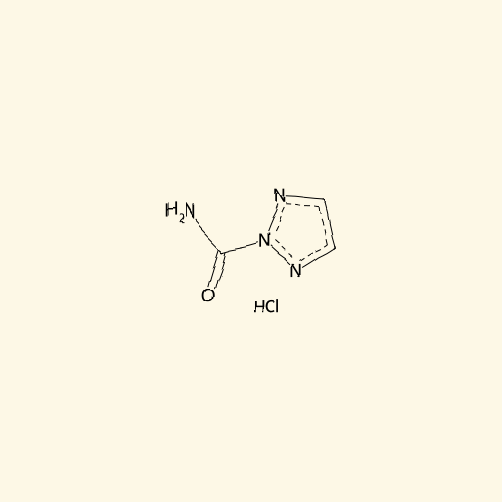 Cl.NC(=O)n1nccn1